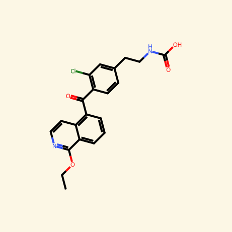 CCOc1nccc2c(C(=O)c3ccc(CCNC(=O)O)cc3Cl)cccc12